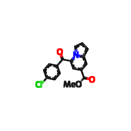 COC(=O)c1cc(C(=O)c2ccc(Cl)cc2)n2cccc2c1